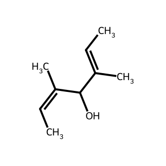 CC=C(C)C(O)C(C)=CC